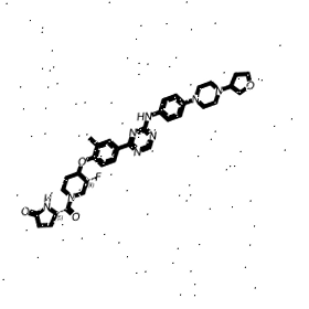 Cc1cc(-c2ncnc(Nc3ccc(N4CCN(C5CCOC5)CC4)cc3)n2)ccc1OC1CCN(C(=O)[C@@H]2CCC(=O)N2)C[C@H]1F